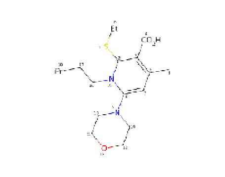 CCSC1C(C(=O)O)=C(C)C=C(N2CCOCC2)N1CCC(C)C